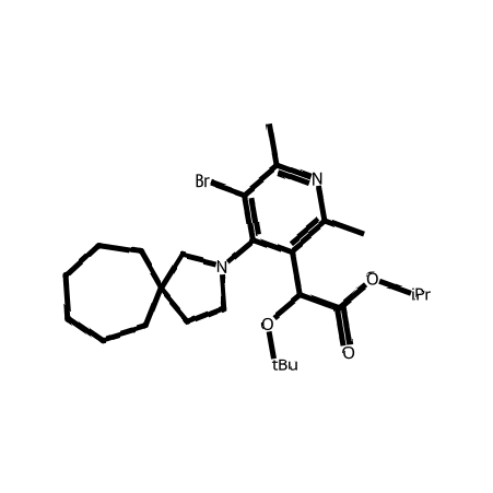 Cc1nc(C)c(C(OC(C)(C)C)C(=O)OC(C)C)c(N2CCC3(CCCCCC3)C2)c1Br